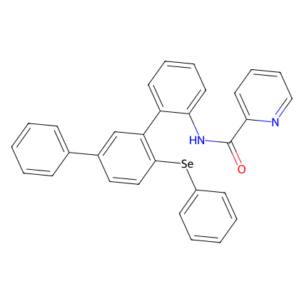 O=C(Nc1ccccc1-c1cc(-c2ccccc2)ccc1[Se]c1ccccc1)c1ccccn1